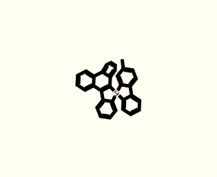 Cc1ccc2c(c1)[Si]1(c3ccccc3-2)c2ccccc2-c2c1c1ccccc1c1ccccc21